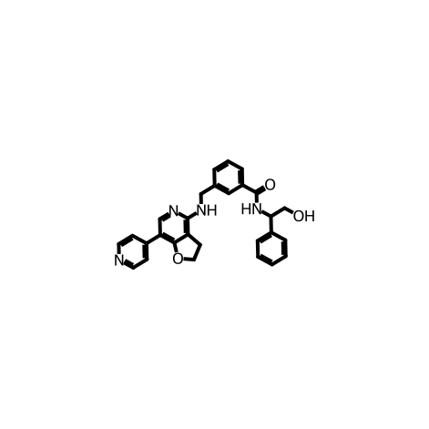 O=C(NC(CO)c1ccccc1)c1cccc(CNc2ncc(-c3ccncc3)c3c2CCO3)c1